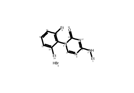 Br.CCNc1ncn(-c2c(CC)cccc2CC)c(=O)n1